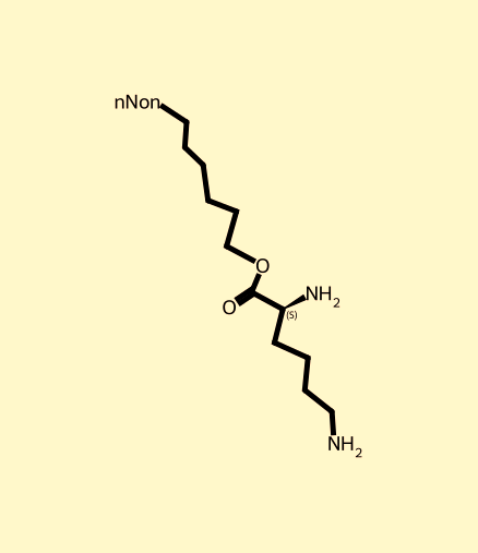 CCCCCCCCCCCCCCCOC(=O)[C@@H](N)CCCCN